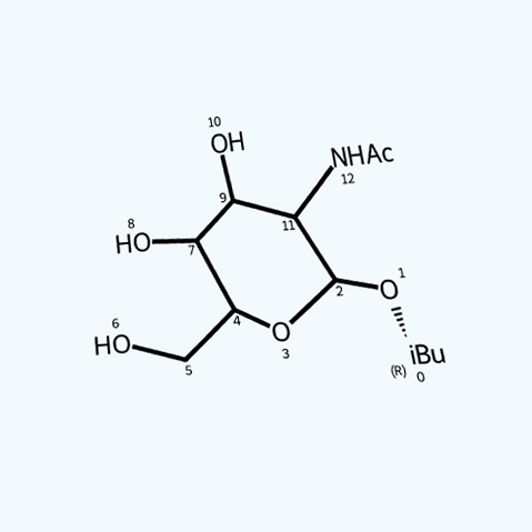 CC[C@@H](C)OC1OC(CO)C(O)C(O)C1NC(C)=O